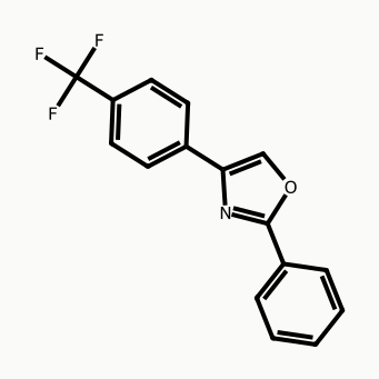 FC(F)(F)c1ccc(-c2coc(-c3ccccc3)n2)cc1